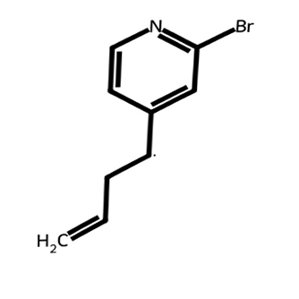 C=CC[CH]c1ccnc(Br)c1